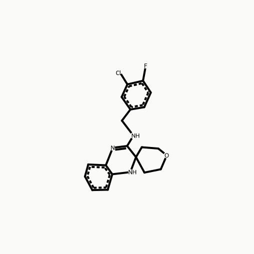 Fc1ccc(CNC2=Nc3ccccc3NC23CCOCC3)cc1Cl